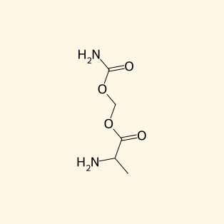 CC(N)C(=O)OCOC(N)=O